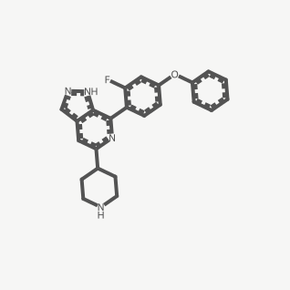 Fc1cc(Oc2ccccc2)ccc1-c1nc(C2CCNCC2)cc2cn[nH]c12